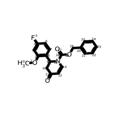 COc1cc(F)ccc1C1CC(=O)C=CN1C(=O)OCc1ccccc1